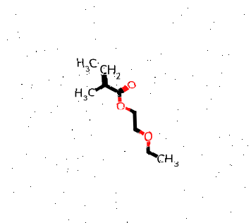 C=C(C)C(=O)OCCOCC.[CH3]